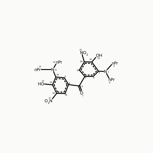 CCCN(CCC)c1cc(C(=O)c2cc(N(CCC)CCC)c(O)c([N+](=O)[O-])c2)cc([N+](=O)[O-])c1O